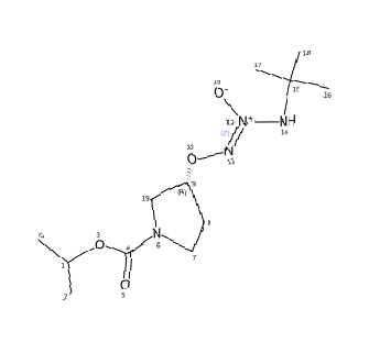 CC(C)OC(=O)N1CC[C@@H](O/N=[N+](\[O-])NC(C)(C)C)C1